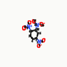 O=[N+]([O-])c1[c]cc([N+](=O)[O-])c([N+](=O)[O-])c1